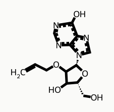 C=CCOC1C(O)[C@@H](CO)O[C@H]1n1cnc2c(O)ncnc21